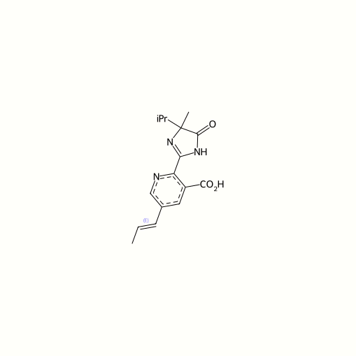 C/C=C/c1cnc(C2=NC(C)(C(C)C)C(=O)N2)c(C(=O)O)c1